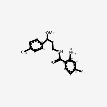 COC(CCNC(=O)c1ccc(F)cc1N)c1ccc(Cl)cc1